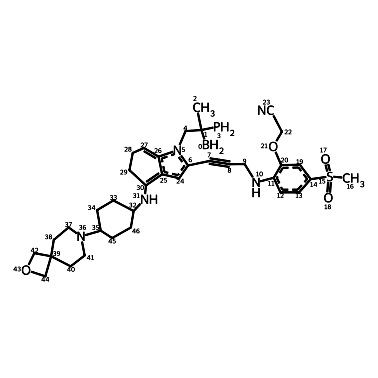 BC(C)(P)Cn1c(C#CCNc2ccc(S(C)(=O)=O)cc2OCC#N)cc2c1=CCCC=2NC1CCC(N2CCC3(CC2)COC3)CC1